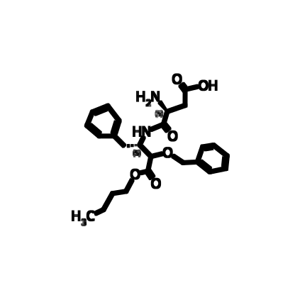 CCCCOC(=O)C(OCc1ccccc1)[C@H](Cc1ccccc1)NC(=O)[C@@H](N)CC(=O)O